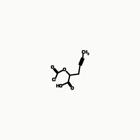 CC#CCC(OC(=O)Cl)C(=O)O